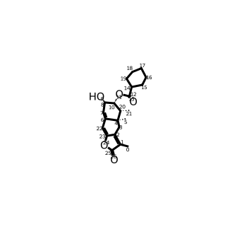 CC1=C2C[C@@]3(C)C(=C[C@H](O)[C@H](OC(=O)C4CCCCC4)[C@@H]3C)C=C2OC1=O